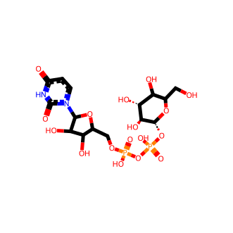 O=c1ccn(C2OC(COP(=O)(O)OP(=O)(O)O[C@H]3OC(CO)C(O)[C@@H](O)[C@@H]3O)C(O)C2O)c(=O)[nH]1